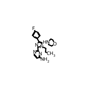 C1COCCN1.CCCn1cc(-c2ccc(F)cc2)nc1-c1nccc(N)n1